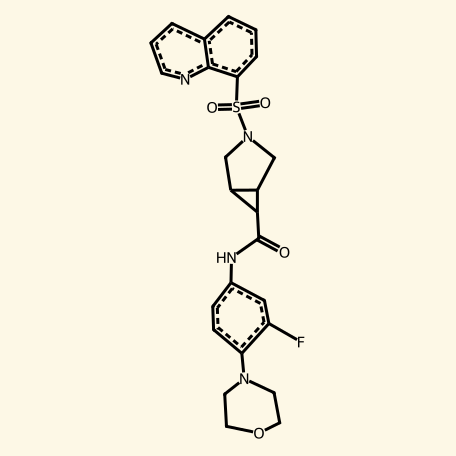 O=C(Nc1ccc(N2CCOCC2)c(F)c1)C1C2CN(S(=O)(=O)c3cccc4cccnc34)CC21